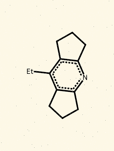 CCc1c2c(nc3c1CCC3)CCC2